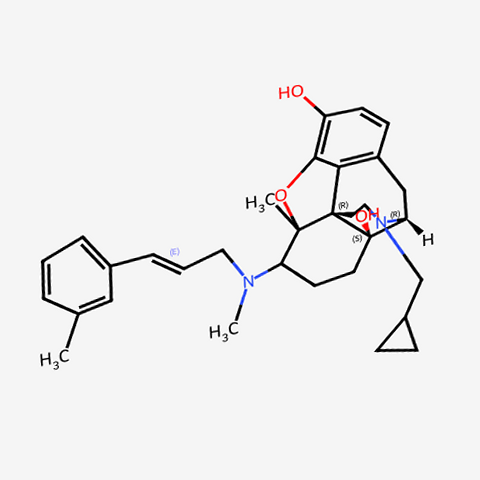 Cc1cccc(/C=C/CN(C)C2CC[C@@]3(O)[C@H]4Cc5ccc(O)c6c5[C@@]3(CCN4CC3CC3)C2(C)O6)c1